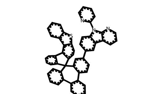 c1ccc(-n2c3ccc(-c4ccc5c(c4)C4(c6ccccc6-c6ccccc6-5)c5ccccc5-c5c4ccc4sc6ccccc6c54)cc3c3cccnc32)nc1